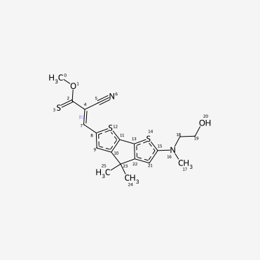 COC(=S)/C(C#N)=C/c1cc2c(s1)-c1sc(N(C)CCO)cc1C2(C)C